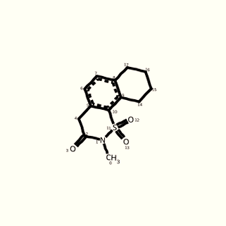 CN1C(=O)Cc2ccc3c(c2S1(=O)=O)CCCC3